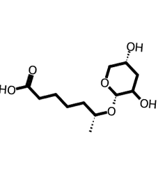 C[C@H](CCCCC(=O)O)O[C@@H]1OC[C@H](O)CC1O